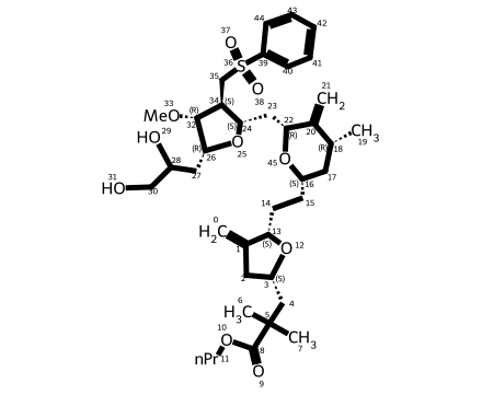 C=C1C[C@@H](CC(C)(C)C(=O)OCCC)O[C@H]1CC[C@H]1C[C@@H](C)C(=C)[C@@H](C[C@@H]2O[C@H](CC(O)CO)[C@H](OC)[C@H]2CS(=O)(=O)c2ccccc2)O1